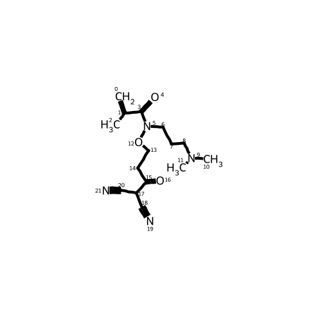 C=C(C)C(=O)N(CCCN(C)C)OCCC(=O)C(C#N)C#N